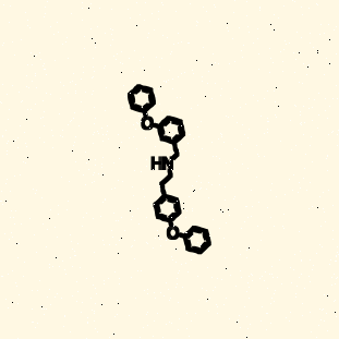 c1ccc(Oc2ccc(CCNCc3cccc(Oc4ccccc4)c3)cc2)cc1